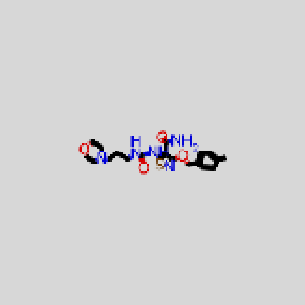 Cc1ccc(COc2nsc(NC(=O)NCCCN3CCOCC3)c2C(N)=O)cc1